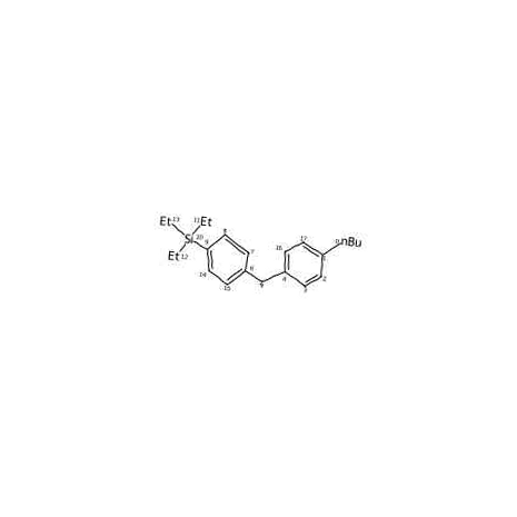 CCCCc1ccc([C]c2ccc([Si](CC)(CC)CC)cc2)cc1